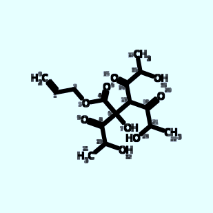 C=CCOC(=O)C(O)(C(=O)C(C)O)C(C(=O)C(C)O)C(=O)C(C)O